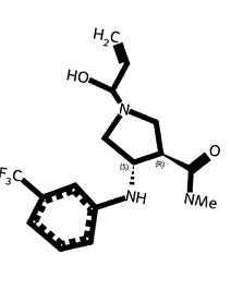 C=CC(O)N1C[C@@H](Nc2cccc(C(F)(F)F)c2)[C@H](C(=O)NC)C1